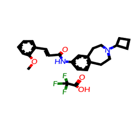 COc1ccccc1/C=C/C(=O)Nc1ccc2c(c1)CCN(C1CCC1)CC2.O=C(O)C(F)(F)F